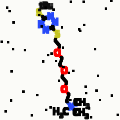 CC(C)(C)Sc1nnc(SCCOCCOCCOCC[N+](C)(C)C)nn1